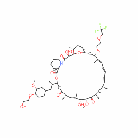 CO[C@@H]1CC(C[C@@H](C)C2CC(=O)[C@H](C)/C=C(\C)[C@@H](O)[C@@H](OC)C(=O)[C@H](C)C[C@H](C)/C=C/C=C/C=C(\C)[C@@H](OCCOCC(F)(F)F)C[C@@H]3CC[C@@H](C)[C@@](O)(O3)C(=O)C(=O)N3CCCC[C@H]3C(=O)O2)CC[C@H]1OCCO